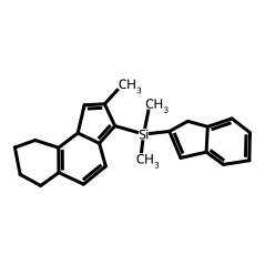 CC1=CC2C(=C1[Si](C)(C)C1=Cc3ccccc3C1)C=CC1=C2CCCC1